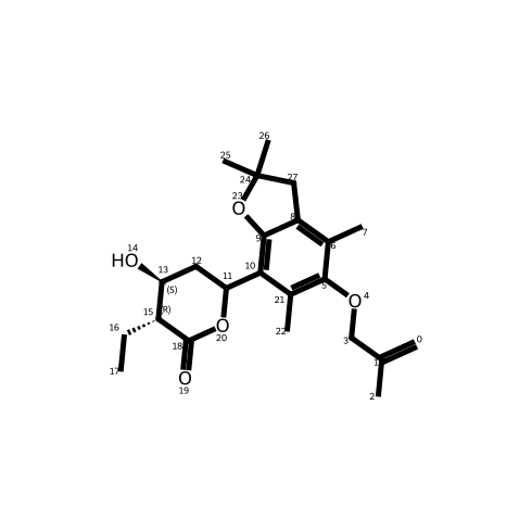 C=C(C)COc1c(C)c2c(c(C3C[C@H](O)[C@@H](CC)C(=O)O3)c1C)OC(C)(C)C2